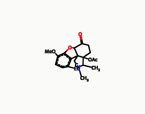 CCc1ccc(OC)c2c1C13CCN(C)C(C)C1(OC(C)=O)CCC(=O)C3O2